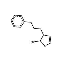 SC1SC=CC1CCCc1ccccc1